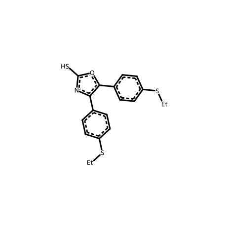 CCSc1ccc(-c2nc(S)oc2-c2ccc(SCC)cc2)cc1